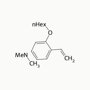 C=Cc1ccccc1OCCCCCC.CNC